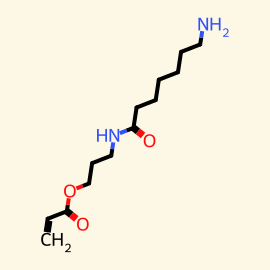 C=CC(=O)OCCCNC(=O)CCCCCCN